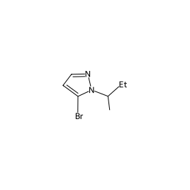 CCC(C)n1nccc1Br